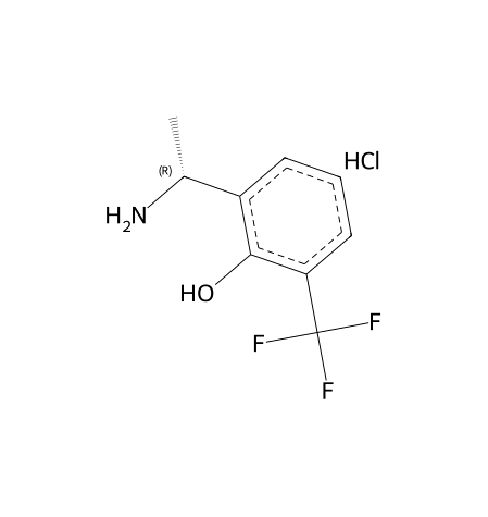 C[C@@H](N)c1cccc(C(F)(F)F)c1O.Cl